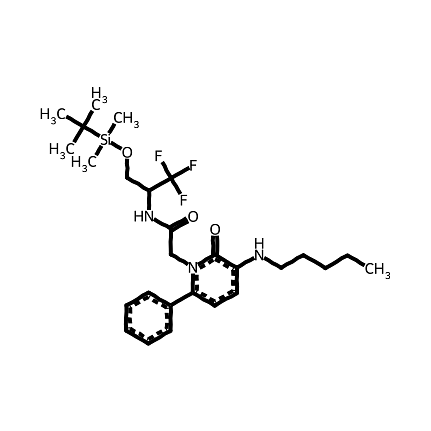 CCCCCNc1ccc(-c2ccccc2)n(CC(=O)NC(CO[Si](C)(C)C(C)(C)C)C(F)(F)F)c1=O